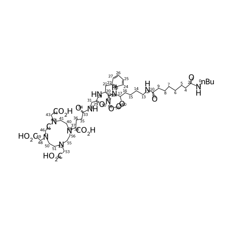 CCCCNC(=O)CCCCCCC(=O)NCCCCC1NC(C(Cc2ccccc2)NC(=O)CNC(=O)CCC(C(=O)O)N2CCN(CC(=O)O)CCN(CC(=O)O)CCN(CC(=O)O)CC2)=NOOO1